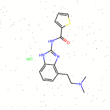 CN(C)CCc1cccc2[nH]c(NC(=O)c3cccs3)nc12.Cl